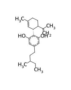 C=C(C)C1CCC(C)=C[C@H]1c1c(O)cc(CCC(C)CC)cc1O